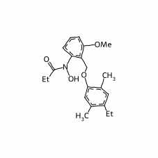 CCC(=O)N(O)c1cccc(OC)c1COc1cc(C)c(CC)cc1C